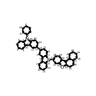 c1ccc(-n2c3ccccc3c3cc(-c4ccc5c(c4)c4ccccc4n5-c4ccc5c(c4)oc4ccc6ccccc6c45)ccc32)cc1